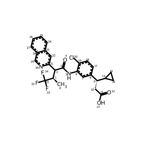 C[C@H](C(C(=O)Nc1cc([C@@H](CC(=O)O)C2CC2)ccc1Cl)c1cc2ccccc2cn1)C(F)(F)F